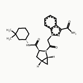 CC1(C)CCC[C@H](NC(=O)[C@@H]2C[C@H]3C[C@H]3N2C(=O)Cn2nc(C(N)=O)c3ccccc32)C1